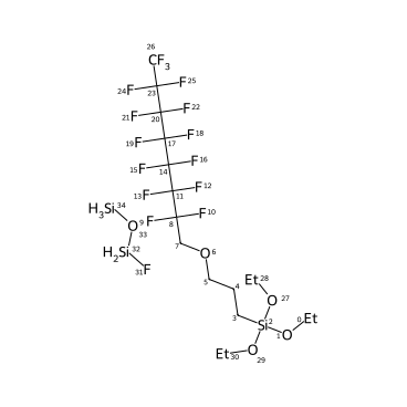 CCO[Si](CCCOCC(F)(F)C(F)(F)C(F)(F)C(F)(F)C(F)(F)C(F)(F)C(F)(F)F)(OCC)OCC.F[SiH2]O[SiH3]